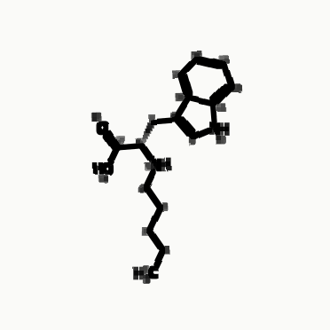 CCCCCN[C@@H](Cc1c[nH]c2ccccc12)C(=O)O